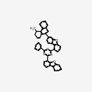 CC1CC=Cc2c(-c3ccc4c(c3)oc3cccc(-c5nc(-c6ccccc6)nc(-c6cccc7c6oc6ccccc67)n5)c34)cc3ccccc3c21